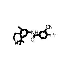 Cc1cc(NC(=O)c2ccc(C(C)C)c(C#N)c2)cc2c1CCN(C)C2(C)C